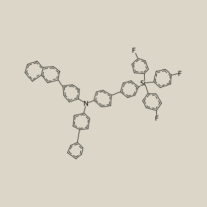 Fc1ccc([Si](c2ccc(F)cc2)(c2ccc(F)cc2)c2ccc(-c3ccc(N(c4ccc(-c5ccccc5)cc4)c4ccc(-c5ccc6ccccc6c5)cc4)cc3)cc2)cc1